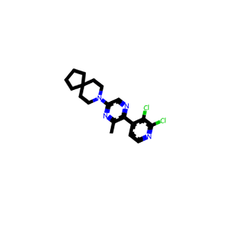 Cc1nc(N2CCC3(CCCC3)CC2)cnc1-c1ccnc(Cl)c1Cl